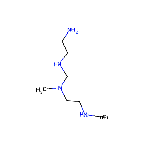 CCCNCCN(C)CNCCN